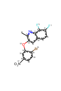 Cc1nc2c(F)c(F)ccc2cc1Oc1cc([N+](=O)[O-])ccc1Br